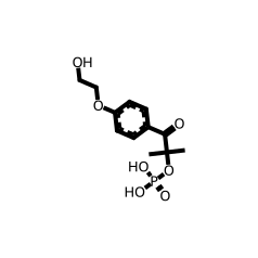 CC(C)(OP(=O)(O)O)C(=O)c1ccc(OCCO)cc1